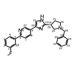 Fc1cccc(-c2ccc(-c3c[nH]c([C@H]4CCN(Cc5ccccc5)C4)n3)cn2)c1